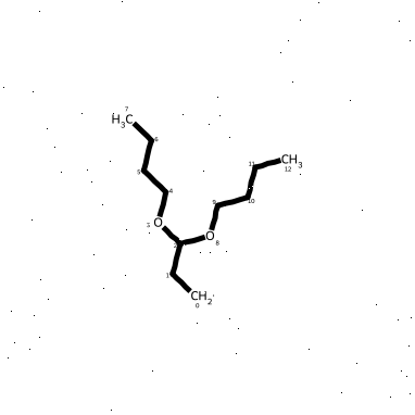 [CH2]CC(OCCCC)OCCCC